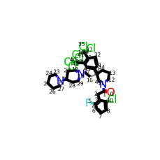 O=C(Cc1c(F)cccc1Cl)N1CCC[C@](CCN2CCC(N3CCCCC3)CC2)(c2ccc(C(Cl)(Cl)Cl)c(C(Cl)(Cl)Cl)c2)C1